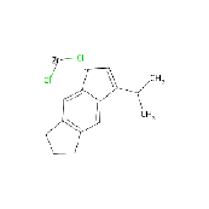 CC(C)C1=C[CH]c2cc3c(cc21)CCC3.[Cl][Zr][Cl]